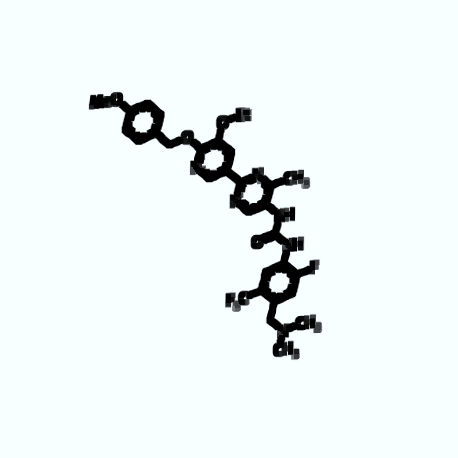 CCOc1cc(-c2ncc(NC(=O)Nc3cc(C(F)(F)F)c(CN(C)C)cc3F)c(C)n2)cnc1OCc1ccc(OC)cc1